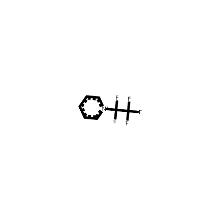 FC(F)(F)C(F)(F)[n+]1ccccc1